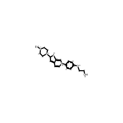 CCN1CCN(C2C=C3C=CN(c4ccc(OCCO)cc4)C=C3S2)CC1